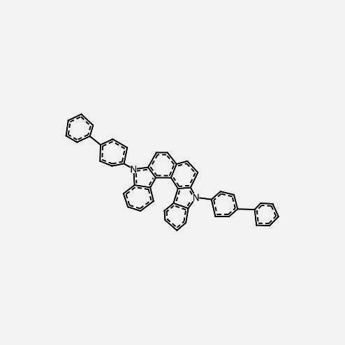 c1ccc(-c2ccc(-n3c4ccccc4c4c5c(ccc43)ccc3c5c4ccccc4n3-c3ccc(-c4ccccc4)cc3)cc2)cc1